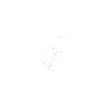 Cc1ccc(F)c(N2CCC[C@]3(CCN(C4CCC(O)CC4)C3=O)C2)n1